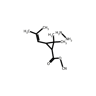 CC(C)=CC1C(C(=O)OC#N)C1(C)C.NN